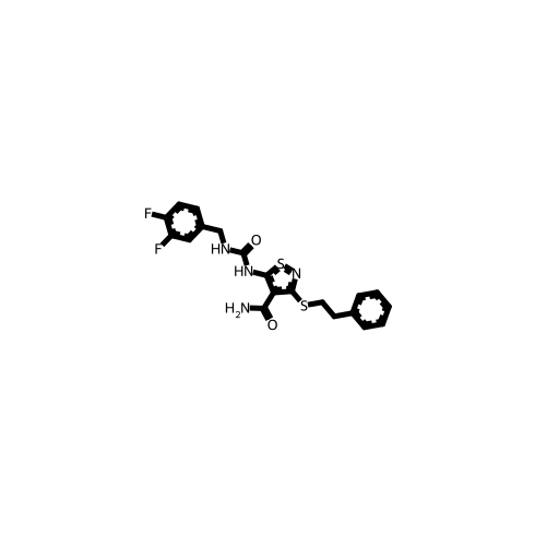 NC(=O)c1c(SCCc2ccccc2)nsc1NC(=O)NCc1ccc(F)c(F)c1